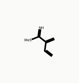 C=CC(=C)C(=N)SC